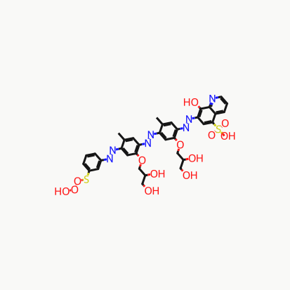 Cc1cc(/N=N/c2cc(OCC(O)CO)c(/N=N/c3cc(S(=O)(=O)O)c4cccnc4c3O)cc2C)c(OCC(O)CO)cc1/N=N/c1cccc(SOOO)c1